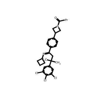 CC(C)C(=O)N1CC(c2ccc(/C(CC(C)(c3cc(Cl)c(Cl)c(Cl)c3)C(F)(F)F)=N/C3CCC3)cc2)C1